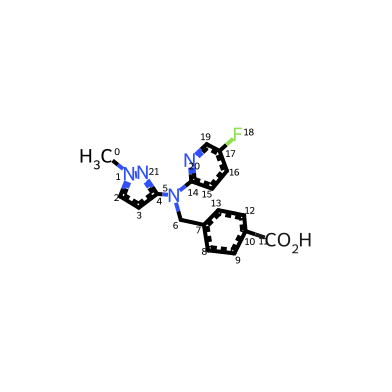 Cn1ccc(N(Cc2ccc(C(=O)O)cc2)c2ccc(F)cn2)n1